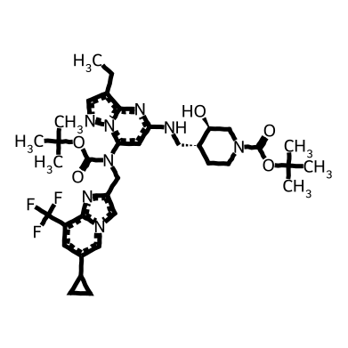 CCc1cnn2c(N(Cc3cn4cc(C5CC5)cc(C(F)(F)F)c4n3)C(=O)OC(C)(C)C)cc(NC[C@H]3CCN(C(=O)OC(C)(C)C)C[C@@H]3O)nc12